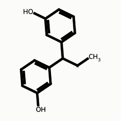 C[C]C(c1cccc(O)c1)c1cccc(O)c1